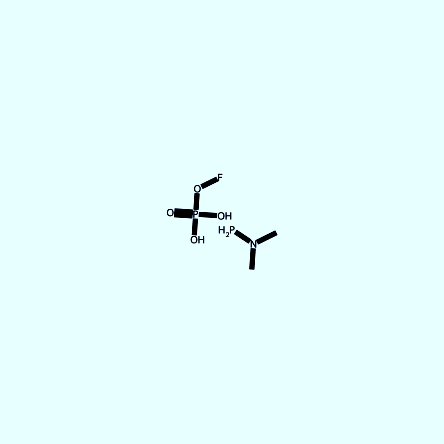 CN(C)P.O=P(O)(O)OF